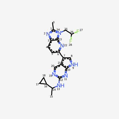 Cc1nc2ccc(-c3c[nH]c4nc(NC(C)C5CC5)ncc34)nc2n1CC(F)F